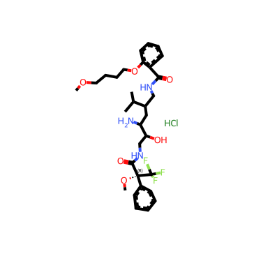 COCCCCOc1ccccc1C(=O)NCC(CC(N)C(O)CNC(=O)[C@](OC)(c1ccccc1)C(F)(F)F)C(C)C.Cl